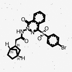 O=C(C[C@H]1C[C@@H]2CC[C@H]1C2)Nn1nc(S(=O)(=O)c2ccc(Br)cc2)c2ccccc2c1=O